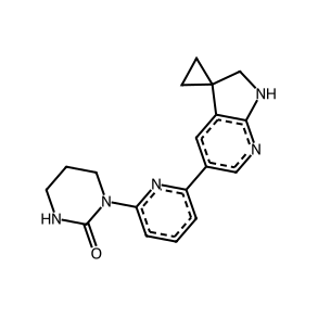 O=C1NCCCN1c1cccc(-c2cnc3c(c2)C2(CC2)CN3)n1